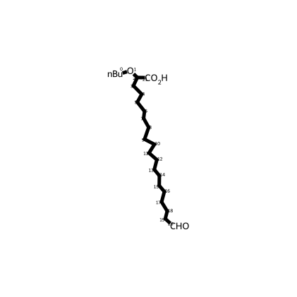 CCCCOC(CCCCCCCCCCCCCCCCCC=O)C(=O)O